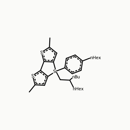 CCCCCCc1ccc([Si]2(CC(CCCC)CCCCCC)c3cc(C)sc3-c3sc(C)cc32)cc1